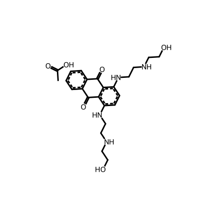 CC(=O)O.O=C1c2ccccc2C(=O)c2c(NCCNCCO)ccc(NCCNCCO)c21